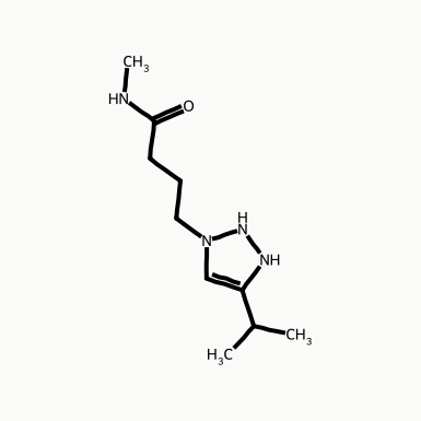 CNC(=O)CCCN1C=C(C(C)C)NN1